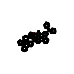 c1ccc(N(c2ccccc2)c2ccc3c(c2)-c2sc4ccccc4c2C32c3ccccc3-c3ccc(N(c4ccccc4)c4ccc5c(c4)C(c4ccccc4)(c4ccccc4)c4ccccc4-5)cc32)cc1